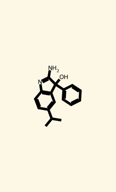 CC(C)c1ccc2c(c1)C(O)(c1ccccc1)C(N)=N2